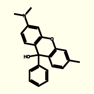 Cc1ccc2c(c1)Oc1cc(N(C)C)ccc1C2(O)c1ccccc1